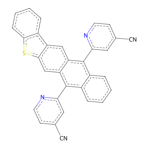 N#Cc1ccnc(-c2c3ccccc3c(-c3cc(C#N)ccn3)c3cc4c(cc23)sc2ccccc24)c1